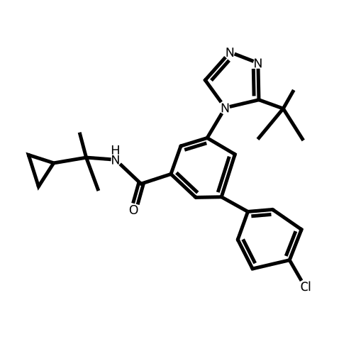 CC(C)(C)c1nncn1-c1cc(C(=O)NC(C)(C)C2CC2)cc(-c2ccc(Cl)cc2)c1